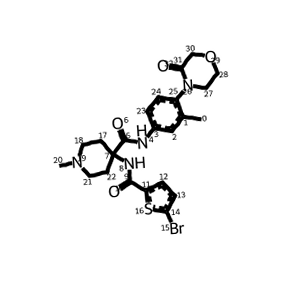 Cc1cc(NC(=O)C2(NC(=O)c3ccc(Br)s3)CCN(C)CC2)ccc1N1CCOCC1=O